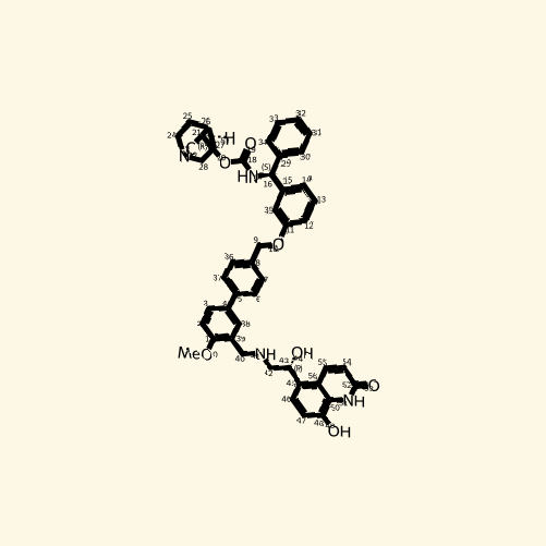 COc1ccc(-c2ccc(COc3cccc([C@@H](NC(=O)O[C@H]4CN5CCC4CC5)c4ccccc4)c3)cc2)cc1CNC[C@H](O)c1ccc(O)c2[nH]c(=O)ccc12